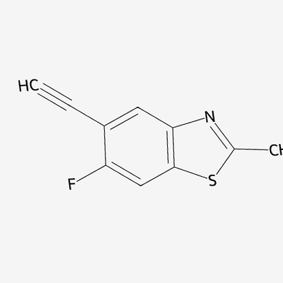 C#Cc1cc2nc(C)sc2cc1F